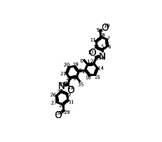 Cc1c(-c2nc3ccc(C=O)cc3o2)cccc1-c1cccc(-c2nc3ccc(C=O)cc3o2)c1C